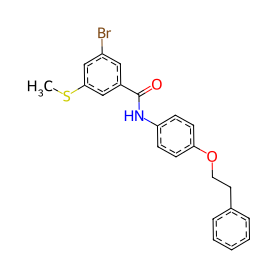 CSc1cc(Br)cc(C(=O)Nc2ccc(OCCc3ccccc3)cc2)c1